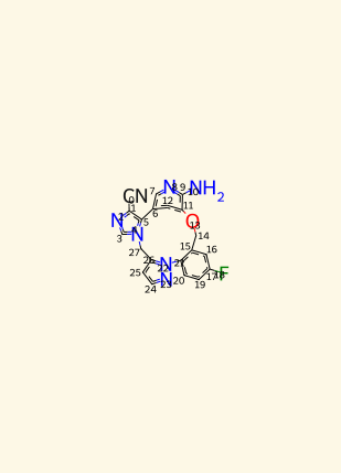 N#Cc1ncn2c1-c1cnc(N)c(c1)OCc1cc(F)ccc1-n1nccc1C2